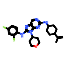 C=C(C)C1CCC(Nc2ncc3nc(Nc4ccc(F)cc4F)n(C4CCOCC4)c3n2)CC1